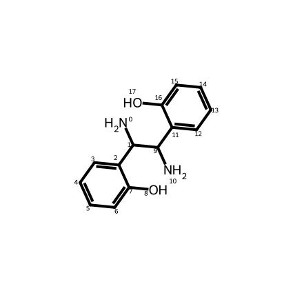 NC(c1ccccc1O)C(N)c1ccccc1O